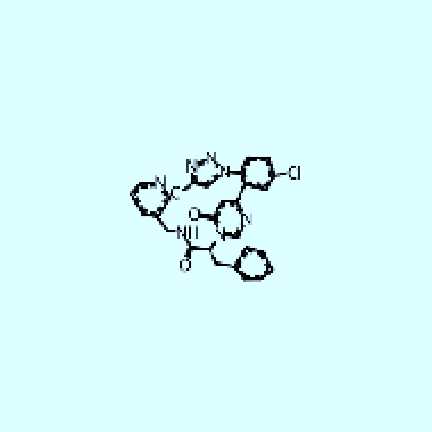 O=C(NCc1cccnc1)[C@H](Cc1ccccc1)n1cnc(-c2cc(Cl)ccc2-n2cc(Cl)nn2)cc1=O